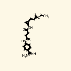 CCOC(=O)CCC1CC1NC(=O)CCC(=O)Nc1ccc(C(=N)N)cc1